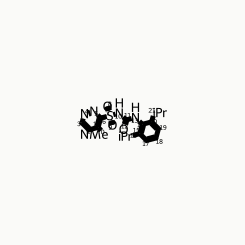 CNc1ccnnc1S(=O)(=O)NC(=O)Nc1c(C(C)C)cccc1C(C)C